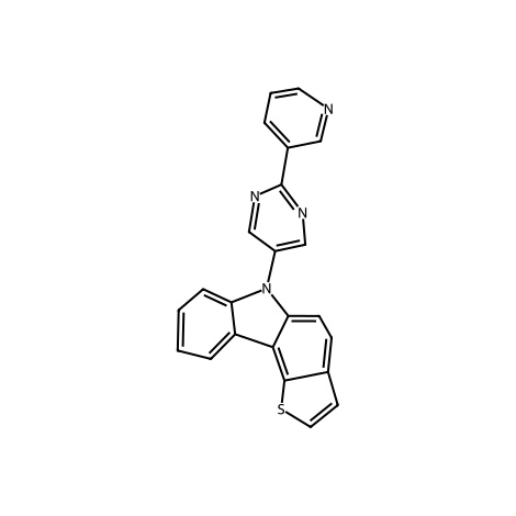 c1cncc(-c2ncc(-n3c4ccccc4c4c5sccc5ccc43)cn2)c1